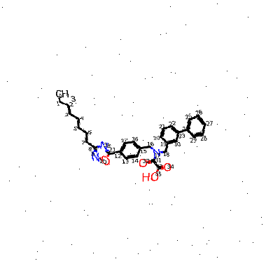 CCCCCCCCc1noc(-c2ccc(CN(Cc3cccc(-c4ccccc4)c3)C(=O)C(=O)O)cc2)n1